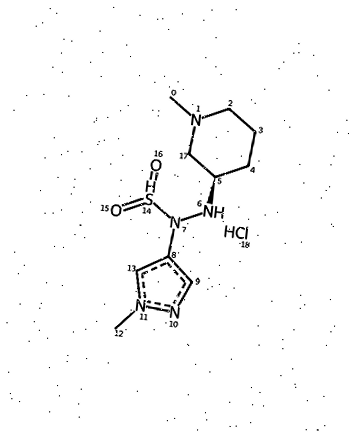 CN1CCC[C@@H](NN(c2cnn(C)c2)[SH](=O)=O)C1.Cl